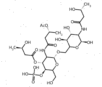 CC(=O)O[C@H](C)CC(=O)NC1[C@H](OCC2O[C@H](O)C(NC(=O)C[C@@H](C)O)[C@@H](O)[C@@H]2O)OC(CO)[C@@H](OP(=O)(O)O)[C@@H]1OC(=O)C[C@@H](C)O